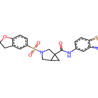 O=C(Nc1ccc2scnc2c1)C12CC1CN(S(=O)(=O)c1ccc3c(c1)CCO3)C2